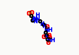 CS(=O)(=O)c1ccc(-c2cccc3nc(Nc4ccc(N5CCN(C(=O)CNc6ccc7c(c6)C(=O)N(C6CCC(=O)NC6=O)C7=O)CC5)cc4)nn23)cc1